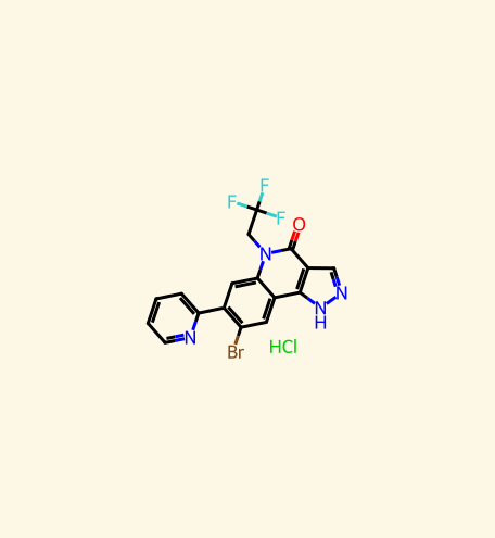 Cl.O=c1c2cn[nH]c2c2cc(Br)c(-c3ccccn3)cc2n1CC(F)(F)F